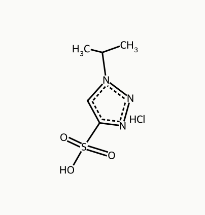 CC(C)n1cc(S(=O)(=O)O)nn1.Cl